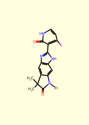 CCN1C(=O)C(C)(C)c2cc3nc(-c4c(I)cc[nH]c4=O)[nH]c3cc21